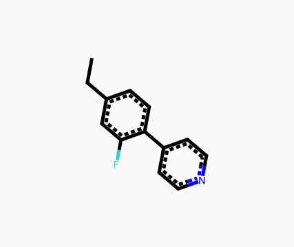 CCc1ccc(-c2ccncc2)c(F)c1